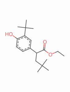 CCOC(=O)C(CC(C)(C)C)c1ccc(O)c(C(C)(C)C)c1